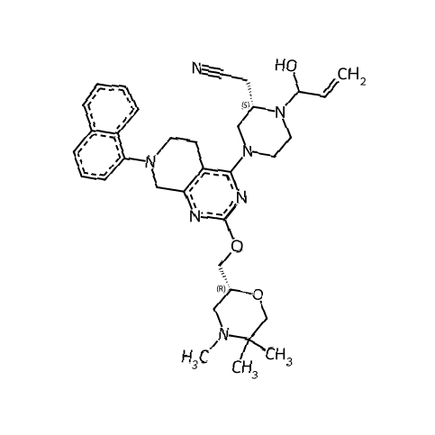 C=CC(O)N1CCN(c2nc(OC[C@H]3CN(C)C(C)(C)CO3)nc3c2CCN(c2cccc4ccccc24)C3)C[C@@H]1CC#N